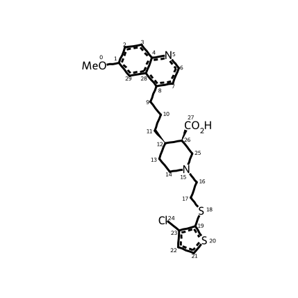 COc1ccc2nccc(CCC[C@@H]3CCN(CCSc4sccc4Cl)C[C@@H]3C(=O)O)c2c1